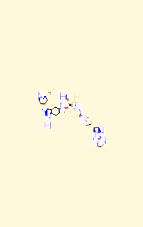 CCc1cc(-c2n[nH]c3ccc(NC(=O)[C@]4(CC)CCN(CC(=O)N5CC=C(c6cnn(-c7ncccn7)c6)CC5)C4)cc23)ccn1